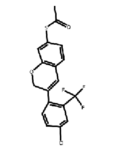 CC(=O)Sc1ccc2c(c1)OCC(c1ccc(Cl)cc1C(F)(F)F)=C2